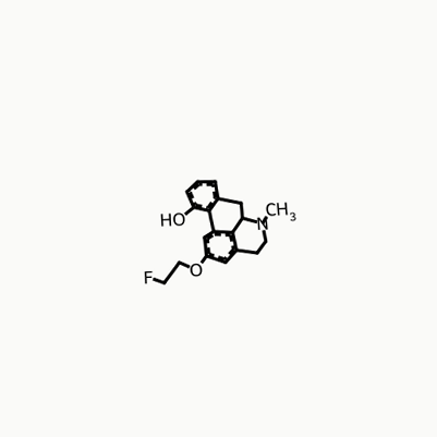 CN1CCc2cc(OCCF)cc3c2C1Cc1cccc(O)c1-3